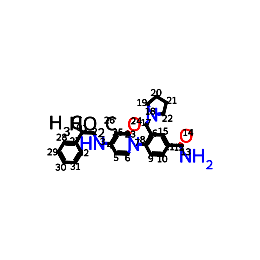 CC(CNc1ccn(-c2ccc(C(N)=O)cc2CN2CCCC2)c(=O)c1C(=O)O)c1ccccc1